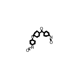 O=C=Nc1ccc(Oc2ccc(C(=O)c3ccc(N=C=O)cc3)cc2)cc1